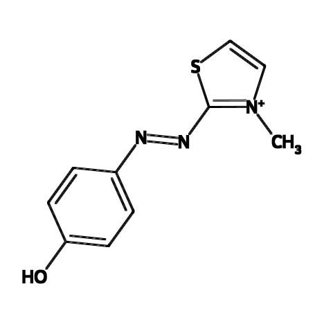 C[n+]1ccsc1N=Nc1ccc(O)cc1